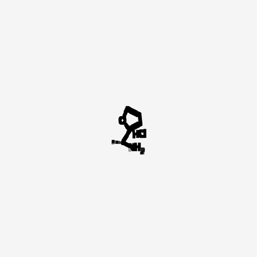 C[C@@H](N)c1ccco1.Cl